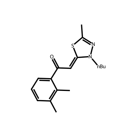 CCCCN1N=C(C)SC1=CC(=O)c1cccc(C)c1C